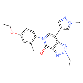 CCOc1ccc(-n2cc(-c3cnn(C)c3)c3nn(CC)nc3c2=O)c(C)c1